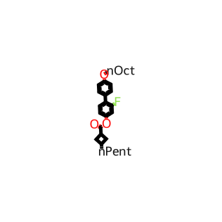 CCCCCCCCOc1ccc(-c2ccc(OC(=O)C3CC(CCCCC)C3)cc2F)cc1